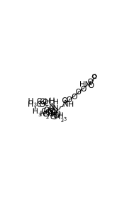 CC(C)(C)OC(=O)CC[C@H](NC(=O)N[C@@H](CCCCNC(=O)COCCOCCOCCOCCNC(=O)OCc1ccccc1)C(=O)OC(C)(C)C)C(=O)OC(C)(C)C